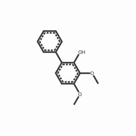 COc1ccc(-c2ccccc2)c(O)c1OC